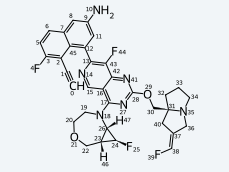 C#Cc1c(F)ccc2cc(N)cc(-c3ncc4c(N5CCOC[C@H]6[C@H](F)[C@H]65)nc(OC[C@@]56CCCN5C/C(=C/F)C6)nc4c3F)c12